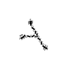 FC(F)(F)C(F)(F)COCCOCCOB(OCCOCCOCC(F)(F)C(F)(F)F)OCCOCCOCC(F)(F)C(F)(F)F